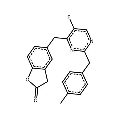 Cc1ccc(Cc2ncc(F)c(Cc3ccc4c(c3)CC(=O)O4)n2)cc1